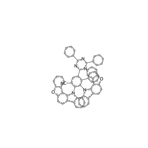 N#Cc1cc(-c2nc(-c3ccccc3)nc(-c3ccccc3)n2)c(-c2ccccc2)c(-n2c3ccccc3c3ccc4oc5ccccc5c4c32)c1-n1c2ccccc2c2ccc3oc4ccccc4c3c21